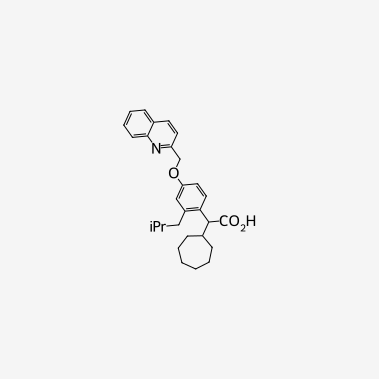 CC(C)Cc1cc(OCc2ccc3ccccc3n2)ccc1C(C(=O)O)C1CCCCCC1